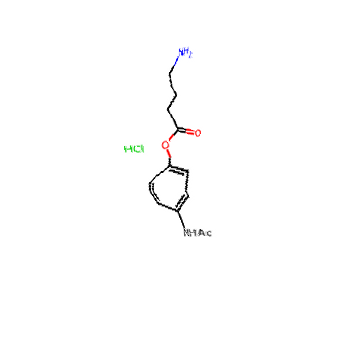 CC(=O)Nc1ccc(OC(=O)CCCN)cc1.Cl